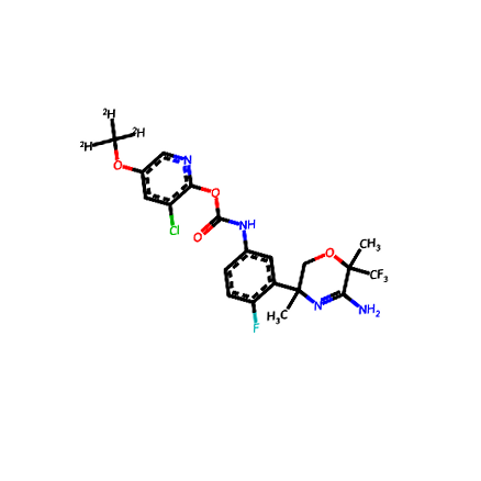 [2H]C([2H])([2H])Oc1cnc(OC(=O)Nc2ccc(F)c(C3(C)COC(C)(C(F)(F)F)C(N)=N3)c2)c(Cl)c1